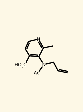 C=CCN(C(C)=O)c1c(C(=O)O)ccnc1C